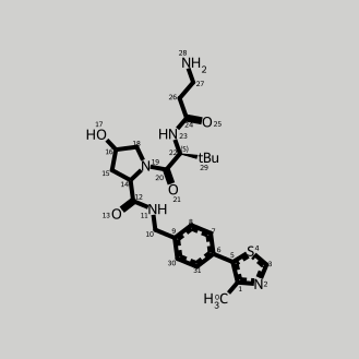 Cc1ncsc1-c1ccc(CNC(=O)C2CC(O)CN2C(=O)[C@@H](NC(=O)CCN)C(C)(C)C)cc1